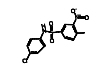 Cc1ccc(S(=O)(=O)Nc2ccc(Cl)cc2)cc1[N+](=O)[O-]